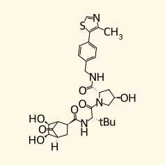 Cc1ncsc1-c1ccc(CNC(=O)[C@@H]2C[C@@H](O)CN2C(=O)[C@@H](NC(=O)[C@H]2C[C@@H]3C(=O)C2[C@H](O)[C@@H]3O)C(C)(C)C)cc1